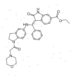 CCOC(=O)c1ccc2c(c1)NC(=O)/C2=C(\Nc1ccc2c(c1)CCN2C(=O)CN1CCOCC1)c1ccccc1